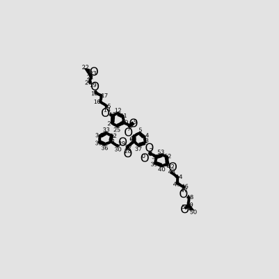 O=C(Oc1ccc(OC(=O)c2ccc(OCCCCOCC3CO3)cc2)c(C(=O)OCc2ccccc2)c1)c1ccc(OCCCCOCC2CO2)cc1